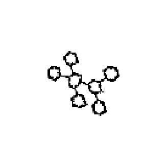 c1ccc(-c2cc(-c3cc(-c4ccccc4)c(-c4ccccc4)cc3-c3ccccc3)cc(-c3ccccc3)n2)cc1